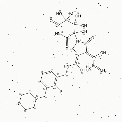 C=C(O)/C(O)=C1/C(=O)N(C2(O)C(=O)NC(=O)C(O)(O)C2(O)O)C/C1=C(/O)NCc1cccc(CN2CCOCC2)c1F